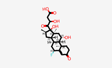 C[C@@H]1C[C@H]2[C@@H]3C[C@H](F)C4=CC(=O)CC[C@]4(C)[C@H]3[C@@H](O)C[C@]2(C)[C@@]1(O)C(=O)C(O)CC(=O)O